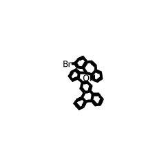 OC1(c2ccccc2-c2ccc3c4ccccc4c4ccccc4c3c2)c2ccccc2C=Cc2ccc(Br)cc21